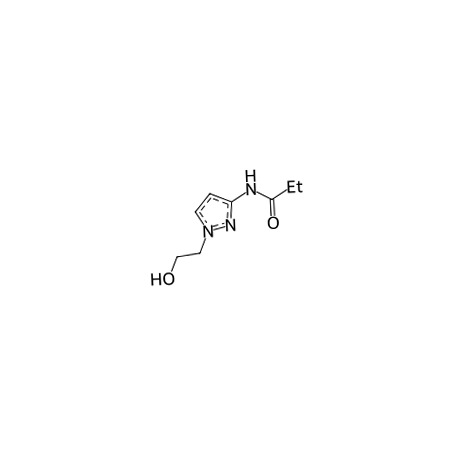 CCC(=O)Nc1ccn(CCO)n1